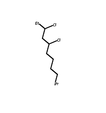 CCC(Cl)CC(Cl)CCCCC(C)C